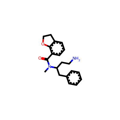 CN(C(=O)c1cccc2c1OCC2)C(CCN)Cc1ccccc1